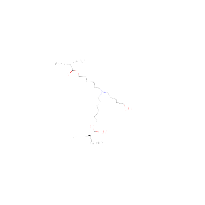 CCCCCCCCC(CCCCCC)C(=O)OCCCCCCN(CCCCCO)CCCCCCOC(O)C(CCCCCC)CCCCCCCC